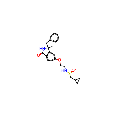 CC1(Cc2ccccc2)NC(=O)c2ccc(OCCN[S+]([O-])CC3CC3)cc21